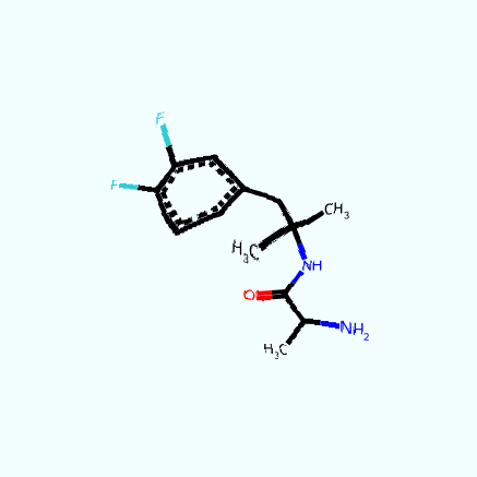 CC(N)C(=O)NC(C)(C)Cc1ccc(F)c(F)c1